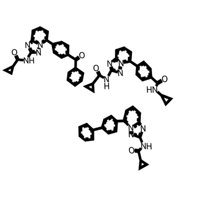 O=C(NC1CC1)c1ccc(-c2cccc3nc(NC(=O)C4CC4)nn23)cc1.O=C(Nc1nc2cccc(-c3ccc(-c4ccccc4)cc3)n2n1)C1CC1.O=C(c1ccccc1)c1ccc(-c2cccc3nc(NC(=O)C4CC4)nn23)cc1